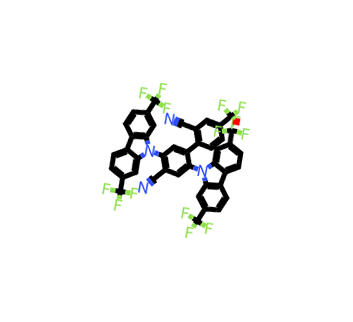 N#Cc1cc(C(F)(F)F)ccc1-c1cc(-n2c3cc(C(F)(F)F)ccc3c3ccc(C(F)(F)F)cc32)c(C#N)cc1-n1c2cc(C(F)(F)F)ccc2c2ccc(C(F)(F)F)cc21